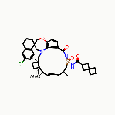 CO[C@H]1/C=C/C[C@H](C)C[S@@](=O)(NC(=O)C2CC3(CCC3)C2)=NC(=O)c2ccc3c(c2)N(C[C@@H]2CC[C@H]21)C[C@@]1(CCCc2cc(Cl)ccc21)CO3